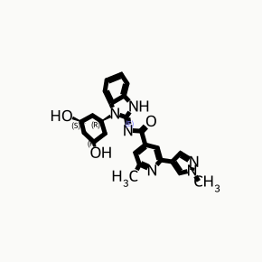 Cc1cc(C(=O)/N=c2\[nH]c3ccccc3n2[C@@H]2C[C@H](O)C[C@H](O)C2)cc(-c2cnn(C)c2)n1